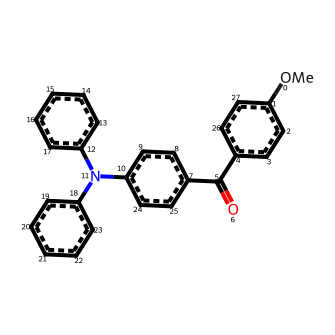 COc1ccc(C(=O)c2ccc(N(c3ccccc3)c3ccccc3)cc2)cc1